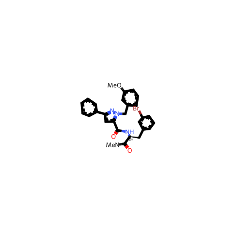 CNC(=O)[C@H](Cc1cccc(Br)c1)NC(=O)c1cc(-c2ccccc2)nn1Cc1cccc(OC)c1